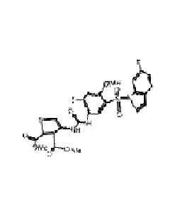 COC(=O)c1scc(NC(=O)Nc2cc(S(=O)(=O)n3ccc4ccc(F)cc43)c(OC)cc2F)c1C(=O)OC